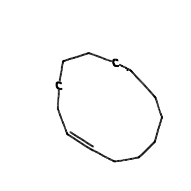 [CH]1CCCCCC=CCCCCC1